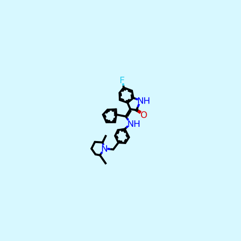 CC1CCCC(C)N1Cc1ccc(N/C(=C2\C(=O)Nc3cc(F)ccc32)c2ccccc2)cc1